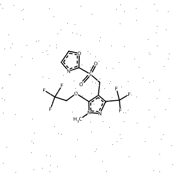 Cn1nc(C(F)(F)F)c(CS(=O)(=O)c2ncco2)c1OCC(F)(F)F